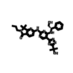 CCCN1C(=O)c2ccc(Nc3ncc(-c4nnc(C(C)(C)O)o4)c(N[C@H](CO)c4ccccc4)n3)nc2C1(C)C